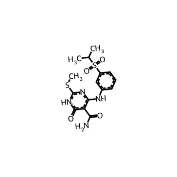 CSc1nc(Nc2cccc(S(=O)(=O)C(C)C)c2)c(C(N)=O)c(=O)[nH]1